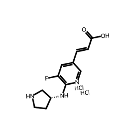 Cl.Cl.O=C(O)/C=C/c1cnc(N[C@@H]2CCNC2)c(F)c1